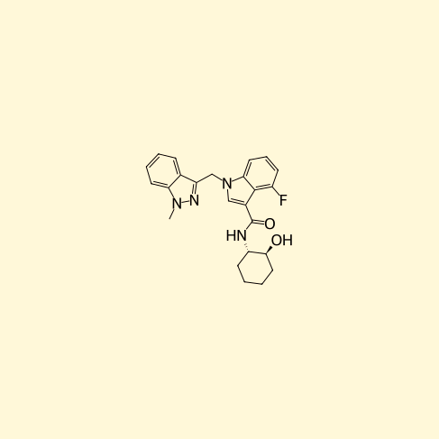 Cn1nc(Cn2cc(C(=O)N[C@H]3CCCC[C@@H]3O)c3c(F)cccc32)c2ccccc21